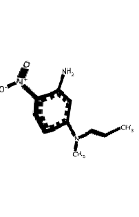 CCCN(C)c1ccc([N+](=O)[O-])c(N)c1